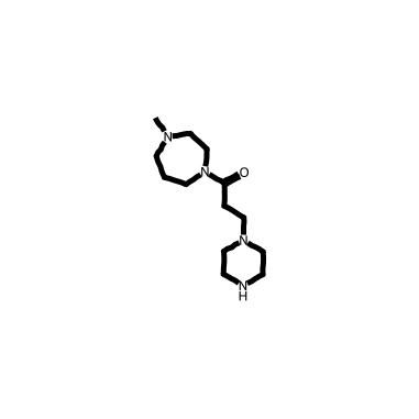 CN1CCCN(C(=O)CCN2CCNCC2)CC1